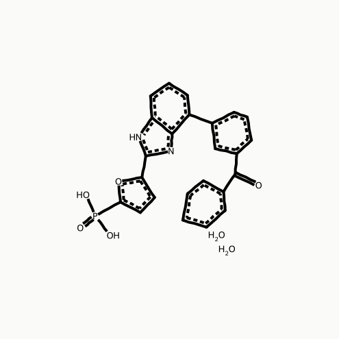 O.O.O=C(c1ccccc1)c1cccc(-c2cccc3[nH]c(-c4ccc(P(=O)(O)O)o4)nc23)c1